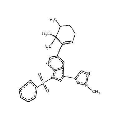 CC1CCC=C(c2cnc3c(c2)c(-c2cnn(C)c2)cn3S(=O)(=O)c2ccccc2)C1(C)C